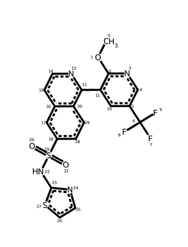 COc1ncc(C(F)(F)F)cc1-c1nccc2cc(S(=O)(=O)Nc3nccs3)ccc12